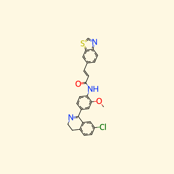 COc1cc(C2=NCCc3ccc(Cl)cc32)ccc1NC(=O)C=Cc1ccc2ncsc2c1